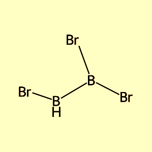 BrBB(Br)Br